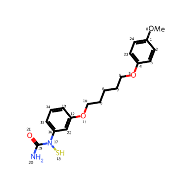 COc1ccc(OCCCCCOc2cccc(N(S)C(N)=O)c2)cc1